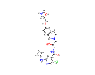 O=C(NCC(O)CN1CCc2cc(OCc3cnco3)ccc2C1)c1cc(NC2CCC2)ncc1Cl